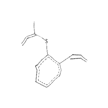 C=Cc1ccccc1SC(=C)C